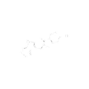 O=C1C(=Cc2c[nH]c3ccccc23)Cc2cc(O)ccc21